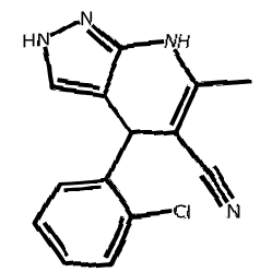 CC1=C(C#N)C(c2ccccc2Cl)c2c[nH]nc2N1